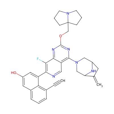 C#Cc1cccc2cc(O)cc(-c3ncc4c(N5CC6CC(=C)C(C5)N6)nc(OCC56CCCN5CCC6)nc4c3F)c12